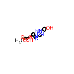 CS(=O)(=O)C[C@H](O)COc1cccc2c1cnn2-c1ccnc(N[C@H]2CC[C@H](O)CC2)n1